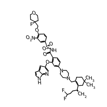 C=C(CCC(F)F)C1=C(CN2CCN(c3ccc(C(=O)NS(=O)(=O)c4ccc(OCC5(F)CCOCC5)c([N+](=O)[O-])c4)c(Oc4cnc5[nH]ccc5c4)c3)CC2)CCC(C)(C)C1